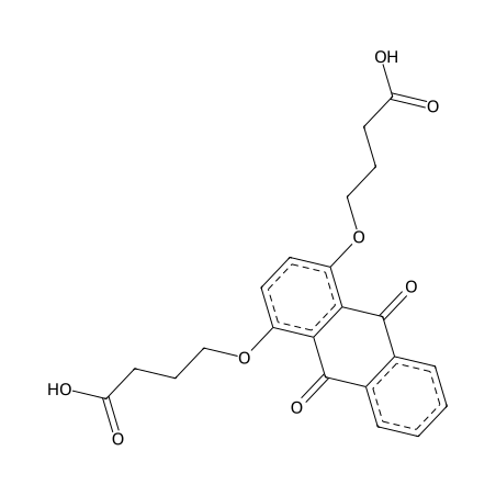 O=C(O)CCCOc1ccc(OCCCC(=O)O)c2c1C(=O)c1ccccc1C2=O